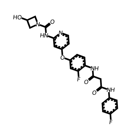 O=C(CC(=O)Nc1ccc(Oc2ccnc(NC(=O)N3CC(O)C3)c2)cc1F)Nc1ccc(F)cc1